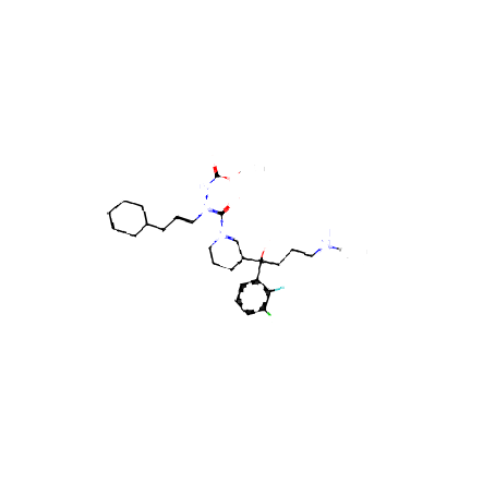 CC(C)(C)OC(=O)NN(CCCC1CCCCC1)C(=O)N1CCCC(C(O)(CCCNC(=O)O)c2cccc(Cl)c2F)C1